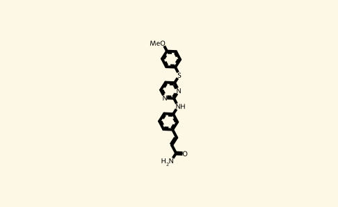 COc1ccc(Sc2ccnc(Nc3cccc(C=CC(N)=O)c3)n2)cc1